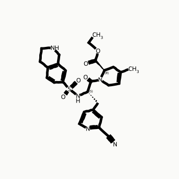 CCOC(=O)[C@H]1CC(C)=CCN1C(=O)[C@H](Cc1ccnc(C#N)c1)NS(=O)(=O)c1ccc2c(c1)CNCC2